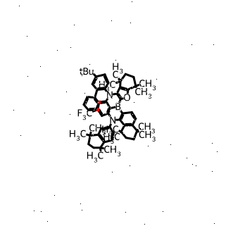 CC(C)(C)c1ccc(N2c3cc(C(F)(F)F)cc4c3B(c3ccc5c(c3N4c3ccc4c(c3)C(C)(C)CCC4(C)C)C(C)(C)CCC5(C)C)c3oc4c(c32)C(C)(C)CCC4(C)C)c(-c2ccccc2)c1